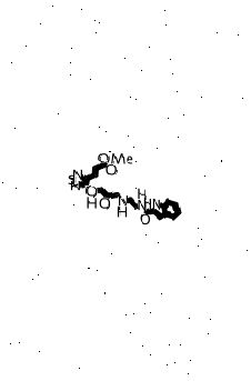 COC(=O)CCc1nsnc1OCC(O)CNCCNC(=O)c1cc2ccccc2[nH]1